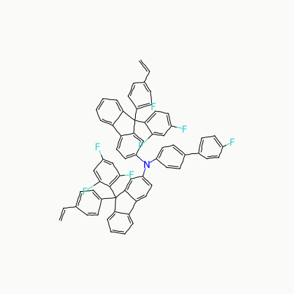 C=Cc1ccc(C2(c3c(F)cc(F)cc3F)c3ccccc3-c3ccc(N(c4ccc(-c5ccc(F)cc5)cc4)c4ccc5c(c4)C(c4ccc(C=C)cc4)(c4c(F)cc(F)cc4F)c4ccccc4-5)cc32)cc1